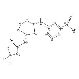 CC(C)(C)OC(=O)N[C@@H]1CCC[C@H](Nc2ccnc(C(=O)O)c2)C1